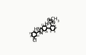 CS(=O)(=O)Nc1ccccc1-c1ccc2[nH]c(-c3cccc(Cl)c3)nc2c1